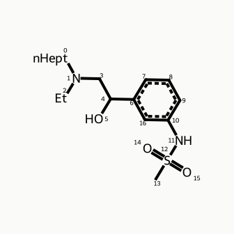 CCCCCCCN(CC)CC(O)c1cccc(NS(C)(=O)=O)c1